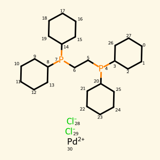 C1CCC(P(CCP(C2CCCCC2)C2CCCCC2)C2CCCCC2)CC1.[Cl-].[Cl-].[Pd+2]